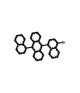 Brc1ccc(-c2c3ccccc3c(-c3cccc4ccccc34)c3ccccc23)c2ccccc12